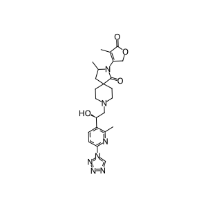 CC1=C(N2C(=O)C3(CCN(C[C@H](O)c4ccc(-n5cnnn5)nc4C)CC3)CC2C)COC1=O